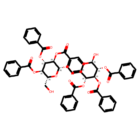 O=C(O[C@@H]1[C@@H](OC(=O)c2ccccc2)[C@H](O)O[C@H](CO[C@@H]2O[C@H](CO)[C@@H](OC(=O)c3ccccc3)[C@H](OC(=O)c3ccccc3)[C@H]2OC(=O)c2ccccc2)[C@H]1OC(=O)c1ccccc1)c1ccccc1